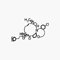 CO[C@H]1/C=C/CCCS(=O)(NC(=O)CCc2cnoc2)=NC(=O)c2ccc3c(c2)N(Cc2ccc(Cl)cc2CCCCO3)C[C@@H]2CC[C@H]21